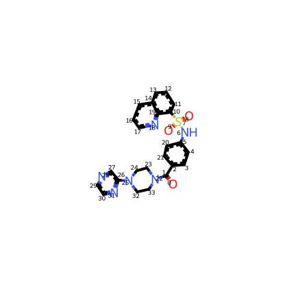 O=C(c1ccc(NS(=O)(=O)c2cccc3cccnc23)cc1)N1CCN(c2cnccn2)CC1